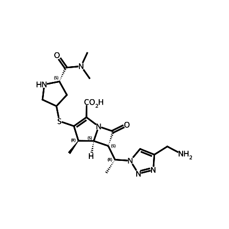 C[C@H]([C@H]1C(=O)N2C(C(=O)O)=C(SC3CN[C@H](C(=O)N(C)C)C3)[C@H](C)[C@H]12)n1cc(CN)nn1